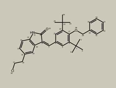 CC(C)(C)c1cc(C=C2C(=O)Nc3ccc(CCCl)cc32)cc(C(C)(C)C)c1OCc1ccccc1